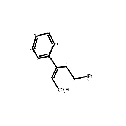 CCOC(=O)/C=C(\CCC(C)C)c1ccccc1